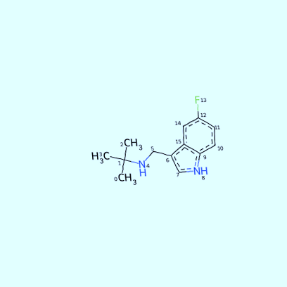 CC(C)(C)NCc1c[nH]c2ccc(F)cc12